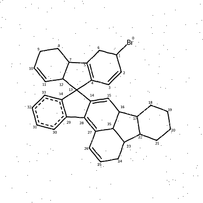 BrC1C=CC2=C(C1)C1CCC=CC1C21C2=CC3C4CCCCC4C4CC=CC(=C2c2ccccc21)C34